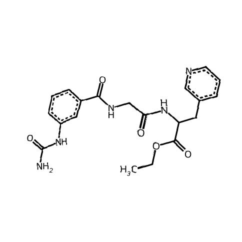 CCOC(=O)C(Cc1cccnc1)NC(=O)CNC(=O)c1cccc(NC(N)=O)c1